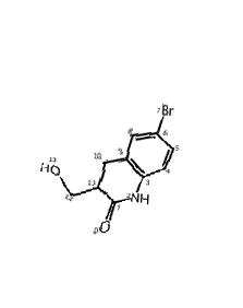 O=C1Nc2ccc(Br)cc2CC1CO